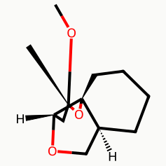 CO[C@@]1(C)C[C@@H]2OC[C@@H]3CCCC[C@]32O1